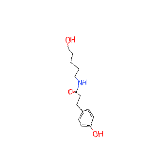 O=C(CCc1ccc(O)cc1)NCCCCCO